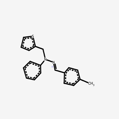 Cc1ccc(/C=N/N(Cc2cccs2)c2ccccc2)cc1